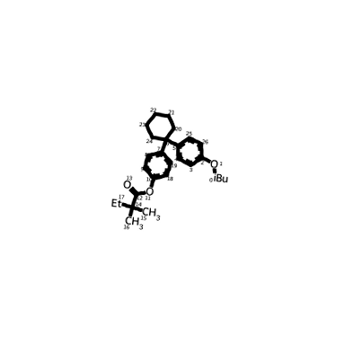 CCC(C)Oc1ccc(C2(c3ccc(OC(=O)C(C)(C)CC)cc3)CCCCC2)cc1